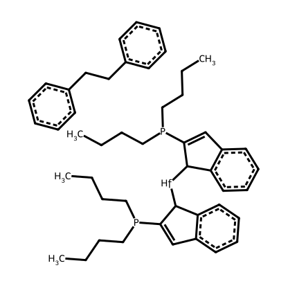 CCCCP(CCCC)C1=Cc2ccccc2[CH]1[Hf][CH]1C(P(CCCC)CCCC)=Cc2ccccc21.c1ccc(CCc2ccccc2)cc1